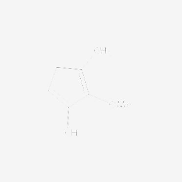 COC1=C(C)CC=C1C